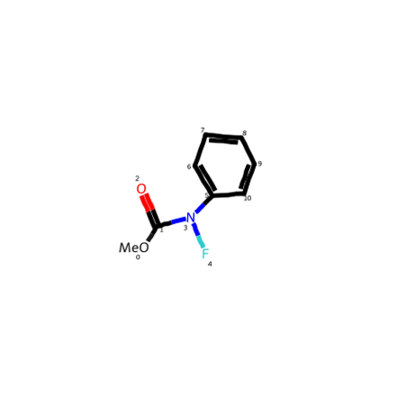 COC(=O)N(F)c1ccccc1